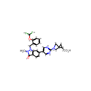 Cn1c(=O)c2ccc(-c3cnc(N4CC5(CC5C(=O)O)C4)nc3)cc2n1Cc1ccccc1OC(F)F